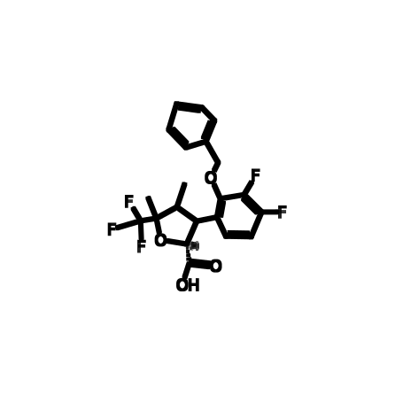 CC1C(c2ccc(F)c(F)c2OCc2ccccc2)[C@H](C(=O)O)OC1(C)C(F)(F)F